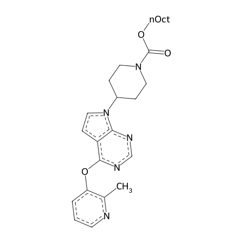 CCCCCCCCOC(=O)N1CCC(n2ccc3c(Oc4cccnc4C)ncnc32)CC1